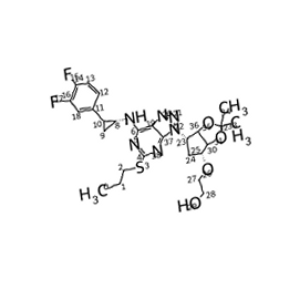 CCCSc1nc(N[C@@H]2CC2c2ccc(F)c(F)c2)c2nnn([C@H]3C[C@@H](OCCO)C4OC(C)(C)OC43)c2n1